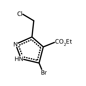 CCOC(=O)c1c(CCl)n[nH]c1Br